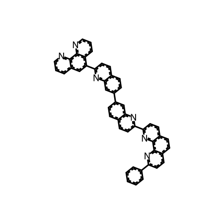 c1ccc(-c2ccc3ccc4ccc(-c5ccc6ccc(-c7ccc8ccc(-c9cc%10cccnc%10c%10ncccc9%10)nc8c7)cc6n5)nc4c3n2)cc1